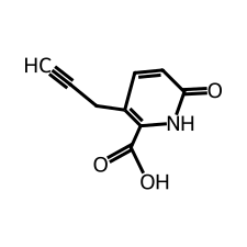 C#CCc1ccc(=O)[nH]c1C(=O)O